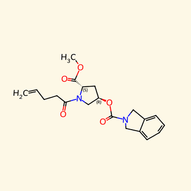 C=CCCC(=O)N1C[C@H](OC(=O)N2Cc3ccccc3C2)C[C@H]1C(=O)OC